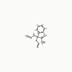 C=CCC(OC=O)(C(=O)O)c1ccccc1